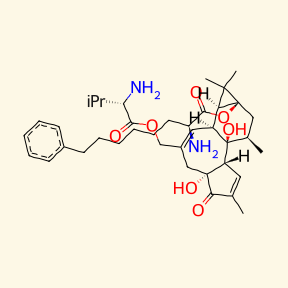 CC1=C[C@H]2[C@@]3(O)[C@H](C)C[C@]4(OC(=O)[C@@H](N)CCCCCCc5ccccc5)[C@@H]([C@@H]3C=C(COC(=O)[C@@H](N)C(C)C)C[C@]2(O)C1=O)C4(C)C